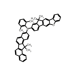 Cc1cccc(C)c1N(c1ccc2c(c1)C(C)(C)c1cc3c(cc1-2)oc1ccccc13)c1ccc2c3c(ccc2c1)-c1ccc2ccccc2c1C3(C)C